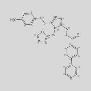 Cc1ccc(OCc2nnc(SCC(=O)c3ccc(-c4ccccc4)cc3)n2Cc2ccco2)cc1